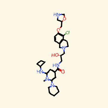 CN1C(NC2CCC2)CC(C(=O)NC[C@H](O)CN2CCc3c(ccc(OCC4CNCO4)c3Cl)C2)CC1N1CCCCC1